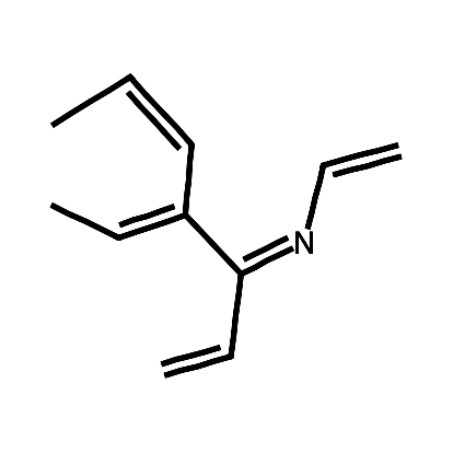 C=C/N=C(/C=C)C(=CC)/C=C\C